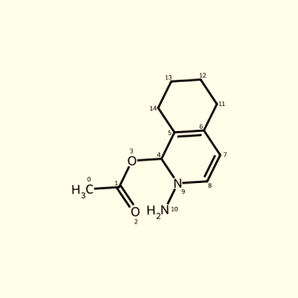 CC(=O)OC1C2=C(C=CN1N)CCCC2